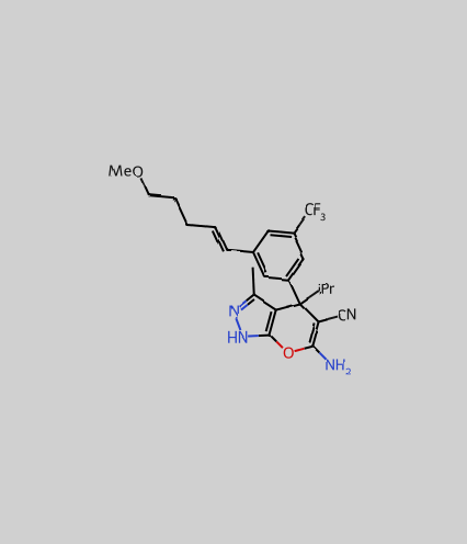 COCCCC=Cc1cc(C(F)(F)F)cc(C2(C(C)C)C(C#N)=C(N)Oc3[nH]nc(C)c32)c1